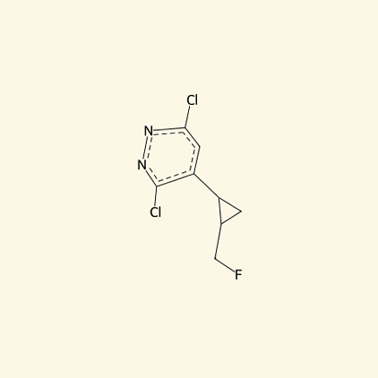 FCC1CC1c1cc(Cl)nnc1Cl